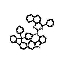 c1ccc(-c2nc(N(c3ccc(C4(c5ccccc5)c5ccccc5-c5ccccc54)cc3)c3cccc4sc5ccccc5c34)nc3c2ccc2ccccc23)cc1